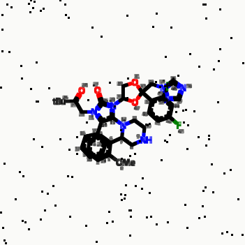 COc1ccccc1C1CNCCN1c1c(-c2ccccc2)n(CC(=O)C(C)(C)C)c(=O)n1C1COC(Cn2cncn2)(c2ccc(F)cc2F)O1